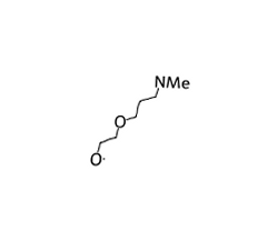 CNCCCOCC[O]